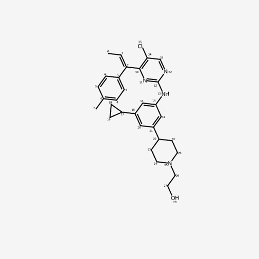 C/C=C(\c1ccc(C)cc1)c1nc(Nc2cc(C3CC3)cc(C3CCN(CCO)CC3)c2)ncc1Cl